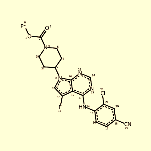 CC(C)OC(=O)N1CCC(n2cc(F)c3c(Nc4ccc(C#N)cc4Cl)ncnc32)CC1